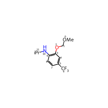 COCOc1cc(C(F)(F)F)ccc1NC(C)C